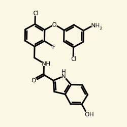 Nc1cc(Cl)cc(Oc2c(Cl)ccc(CNC(=O)c3cc4cc(O)ccc4[nH]3)c2F)c1